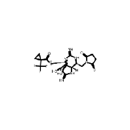 N=C1N[C@H]2[C@H](CN3C(=O)CCC3=O)NC(=N)N3C[C@H](NC(=O)C4(C(F)(F)F)CC4)C(O)(O)[C@]23N1